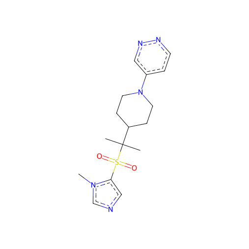 Cn1cncc1S(=O)(=O)C(C)(C)C1CCN(c2ccnnc2)CC1